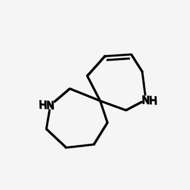 C1=CCC2(CCCCNC2)CNC1